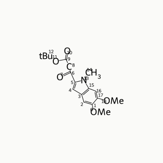 COc1cc2cc(C(=O)CC(=O)OC(C)(C)C)n(C)c2cc1OC